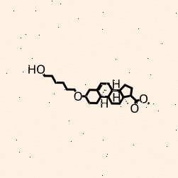 COC(=O)C1CC[C@H]2[C@@H]3CC=C4CC(OCCCCCCO)CC[C@]4(C)[C@@H]3CC[C@]12C